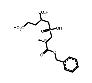 C[C@@H](CP(=O)(O)CC(CCC(=O)O)C(=O)O)C(=O)OCc1ccccc1